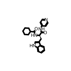 O=C(N[C@H](Cc1c[nH]c2ccccc12)C(=O)Nc1ccncc1)C1CCCCC1